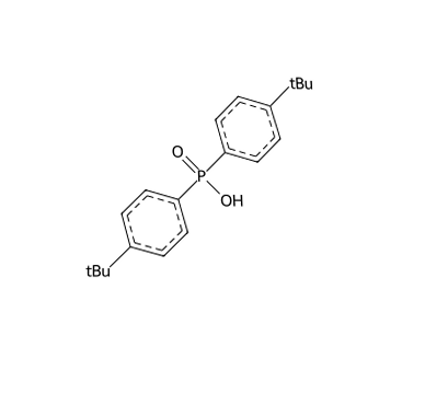 CC(C)(C)c1ccc(P(=O)(O)c2ccc(C(C)(C)C)cc2)cc1